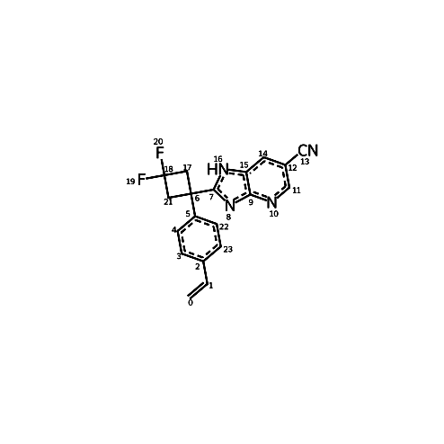 C=Cc1ccc(C2(c3nc4ncc(C#N)cc4[nH]3)CC(F)(F)C2)cc1